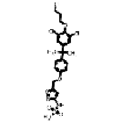 CC(C)(c1ccc(OCc2cc(NS(C)(=O)=O)no2)cc1)c1cc(Cl)c(OCCCCl)c(Cl)c1